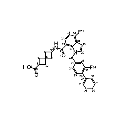 O=C(NC1CC2(C1)CC(C(=O)O)C2)c1ccc(F)c2ccn(Cc3ccc(-c4ccccc4)c(F)c3)c12